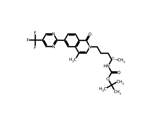 Cc1cn(CCC[C@H](C)NC(=O)OC(C)(C)C)c(=O)c2ccc(-c3ncc(C(F)(F)F)cn3)cc12